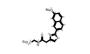 CCOC(=O)CNC(=O)Cc1csc(-c2ccc3ccc(OC)cc3c2)n1